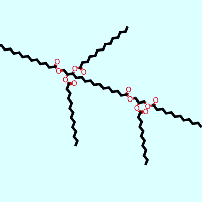 CCCCCCCCCCCCCC(=O)OCC(OC(=O)CCCCCCCCCCCCC)C(CCCCCCCCCCCC(=O)OCC(COC(=O)CCCCCCCCCCC)OC(=O)CCCCCCCCCCC)OC(=O)CCCCCCCCCCCCC